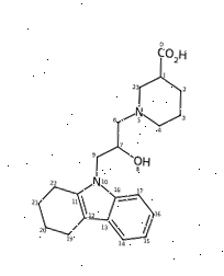 O=C(O)C1CCCN(CC(O)Cn2c3c(c4ccccc42)CCCC3)C1